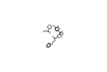 Cc1nc(-c2nnn(C)c2CNC(=O)OCCc2ccccc2)ccc1O[C@H]1CCC[C@H](C(=O)O)C1